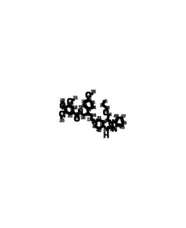 CCCOCCn1c(NC2CCN(CCC(CN(C)C(=O)c3cc(OC)c(OC)c(OC)c3)c3ccc(OC)cc3)CC2)nc2ccccc21